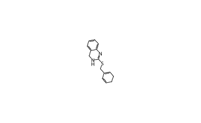 C1=CC(CSC2=Nc3ccccc3CN2)=CCC1